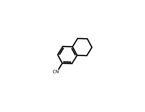 [C-]#[N+]c1ccc2c(c1)CCCC2